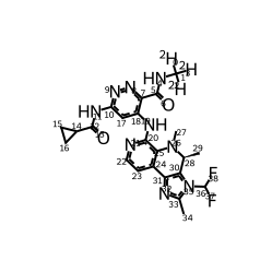 [2H]C([2H])([2H])NC(=O)c1nnc(NC(=O)C2CC2)cc1Nc1nccc2c1N(C)[C@@H](C)c1c-2nc(C)n1C(F)F